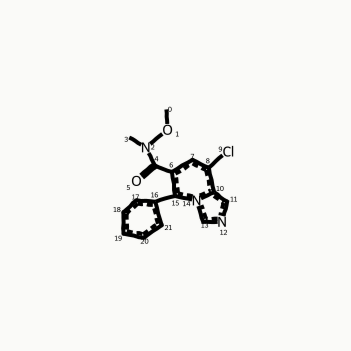 CON(C)C(=O)c1cc(Cl)c2cncn2c1-c1ccccc1